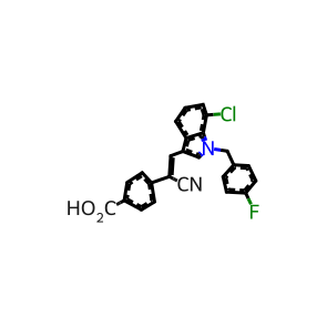 N#C/C(=C\c1cn(Cc2ccc(F)cc2)c2c(Cl)cccc12)c1ccc(C(=O)O)cc1